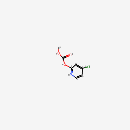 COC(=O)Oc1cc(Cl)ccn1